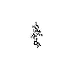 Cc1cc2c(F)c(OP(=O)(N[C@@H](C)C(=O)OC(C)C)OC[C@H]3O[C@@H](n4ccc(=O)[nH]c4=O)C(C)(F)[C@@H]3O)ccc2n1C